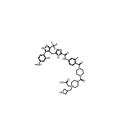 CNc1ccc(-c2[nH]nc(C(F)(F)F)c2Cc2cnc(C(=O)Nc3ccc(C(=O)N4CCN(C(=O)C5CC[N+](CC(=O)O)(CC6CNC6)CC5)CC4)c(C)c3)[nH]2)c(F)c1